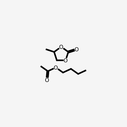 CC1COC(=O)O1.CCCCOC(C)=O